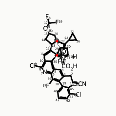 N#CCCc1cc2c(nc(Cl)c3cc([C@H]4C[C@H](OC(F)F)CN4C(=O)C4CC4)n([C@H]4[C@@H]5C[C@H]4N(C(=O)O)C5)c32)c(F)c1-c1cccc(Cl)c1Cl